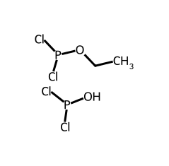 CCOP(Cl)Cl.OP(Cl)Cl